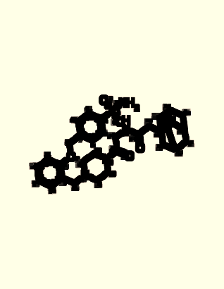 NS(=O)(=O)c1ccc(COc2ccccc2CN2CCN(C(=O)CNC(=O)CC34CC5CC(CC(C5)C3)C4)CC2)cc1